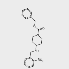 O=C(OCc1ccccc1)N1CCC(NCc2ccccc2[N+](=O)[O-])CC1